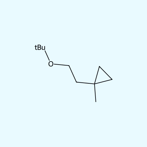 CC1(CCOC(C)(C)C)CC1